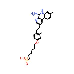 Cc1ccc2c(c1)NC(N)c1ncc(CCc3ccc(OCCCCCC[PH](=O)O)cc3C)cc1-2